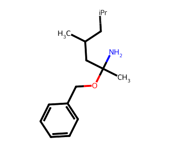 CC(C)CC(C)CC(C)(N)OCc1ccccc1